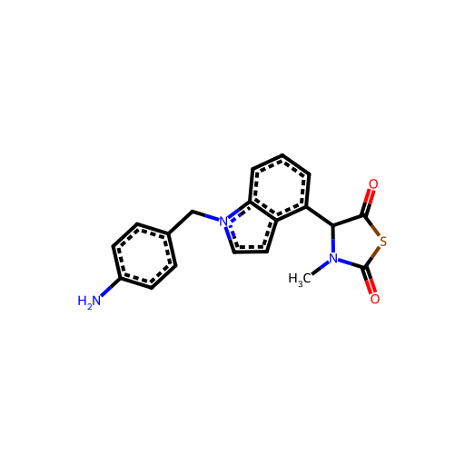 CN1C(=O)SC(=O)C1c1cccc2c1ccn2Cc1ccc(N)cc1